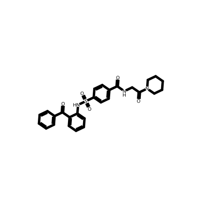 O=C(NCC(=O)N1CCCCC1)c1ccc(S(=O)(=O)Nc2ccccc2C(=O)c2ccccc2)cc1